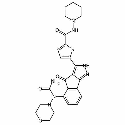 NC(=O)N(c1cccc2c1C(=O)c1c-2n[nH]c1-c1ccc(C(=O)NN2CCCCC2)s1)N1CCOCC1